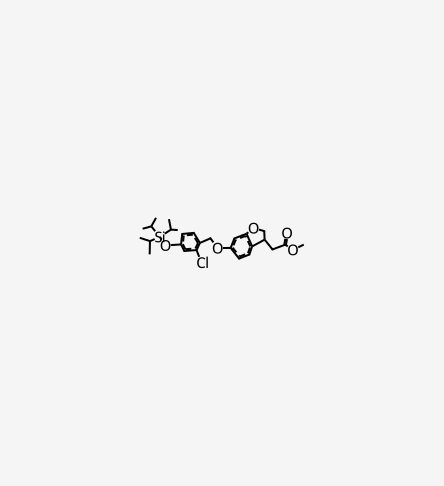 COC(=O)CC1COc2cc(OCc3ccc(O[Si](C(C)C)(C(C)C)C(C)C)cc3Cl)ccc21